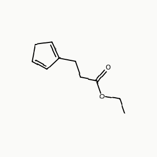 CCOC(=O)CCC1=CCC=C1